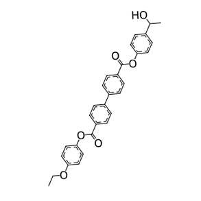 CCOc1ccc(OC(=O)c2ccc(-c3ccc(C(=O)Oc4ccc(C(C)O)cc4)cc3)cc2)cc1